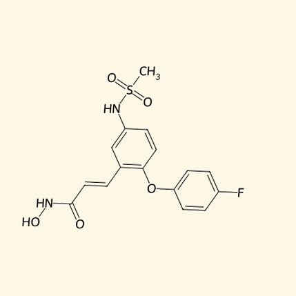 CS(=O)(=O)Nc1ccc(Oc2ccc(F)cc2)c(C=CC(=O)NO)c1